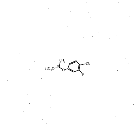 CCOC(=O)[C@H](C)Oc1ccc(C#N)c(F)c1